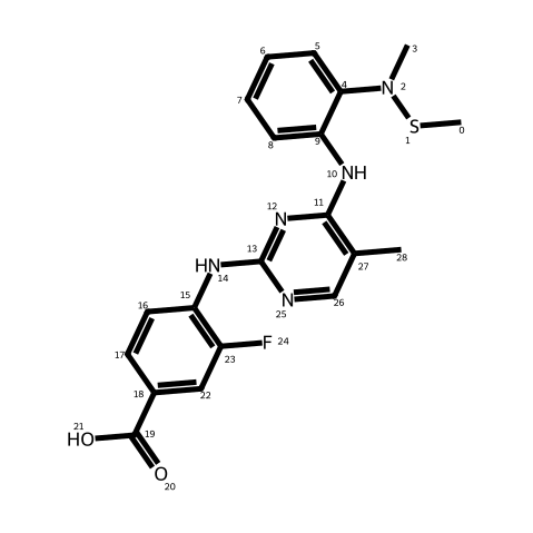 CSN(C)c1ccccc1Nc1nc(Nc2ccc(C(=O)O)cc2F)ncc1C